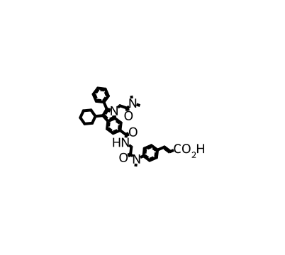 CN(C)C(=O)Cn1c(-c2ccccc2)c(C2CCCCC2)c2ccc(C(=O)NCC(=O)N(C)c3ccc(C=CC(=O)O)cc3)cc21